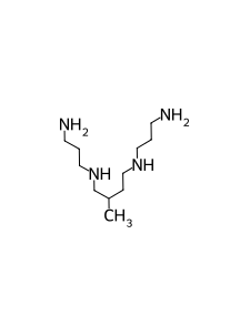 CC(CCNCCCN)CNCCCN